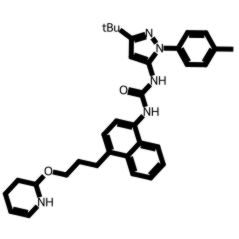 Cc1ccc(-n2nc(C(C)(C)C)cc2NC(=O)Nc2ccc(CCCOC3CCC=CN3)c3ccccc23)cc1